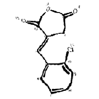 O=C1CC(=Cc2ccccc2Cl)C(=O)O1